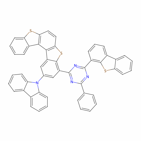 c1ccc(-c2nc(-c3cccc4c3sc3ccccc34)nc(-c3cc(-n4c5ccccc5c5ccccc54)cc4c3sc3ccc5sc6ccccc6c5c34)n2)cc1